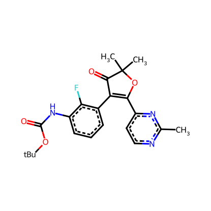 Cc1nccc(C2=C(c3cccc(NC(=O)OC(C)(C)C)c3F)C(=O)C(C)(C)O2)n1